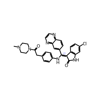 CN1CCN(C(=O)Cc2ccc(N/C(=C3\C(=O)Nc4cc(Cl)ccc43)c3ccc4nccnc4c3)cc2)CC1